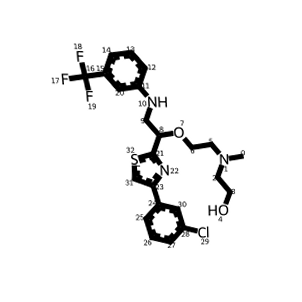 CN(CCO)CCOC(CNc1cccc(C(F)(F)F)c1)c1nc(-c2cccc(Cl)c2)cs1